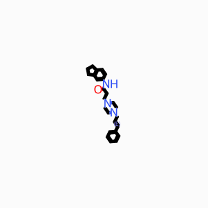 O=C(CCN1CCN(C/C=C/c2ccccc2)CC1)Nc1ccc2c(c1)CCC2